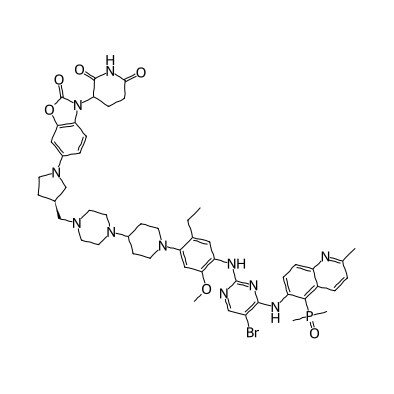 CCc1cc(Nc2ncc(Br)c(Nc3ccc4nc(C)ccc4c3P(C)(C)=O)n2)c(OC)cc1N1CCC(N2CCN(C[C@H]3CCN(c4ccc5c(c4)oc(=O)n5C4CCC(=O)NC4=O)C3)CC2)CC1